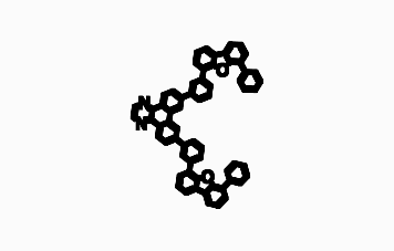 c1ccc(-c2cccc3c2oc2c(-c4cccc(-c5ccc6c(c5)c5cc(-c7cccc(-c8cccc9c8oc8c(-c%10ccccc%10)cccc89)c7)ccc5c5nccnc65)c4)cccc23)cc1